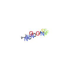 Cc1c(C2CC2)nc2ccc(-n3ccc(OCc4csc(C(F)(F)F)n4)cc3=O)cn12